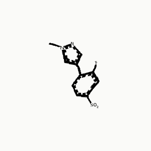 Cn1cc(-c2ccc([N+](=O)[O-])cc2F)cn1